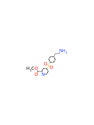 COC(=O)c1cc(S(=O)(=O)c2ccc(CCN)cc2)ccn1